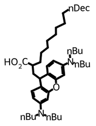 CCCCCCCCCCCCCCCCCCC(CC1c2ccc(N(CCCC)CCCC)cc2Oc2cc(N(CCCC)CCCC)ccc21)C(=O)O